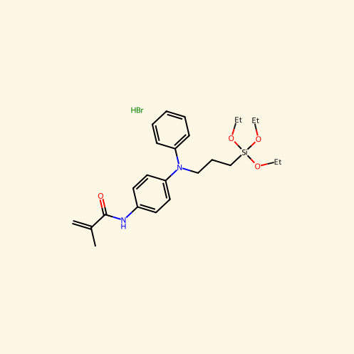 Br.C=C(C)C(=O)Nc1ccc(N(CCC[Si](OCC)(OCC)OCC)c2ccccc2)cc1